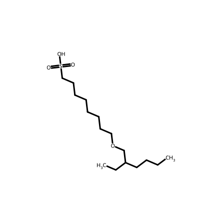 CCCCC(CC)COCCCCCCCCS(=O)(=O)O